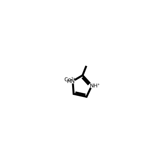 Cc1[nH]cc[nH+]1.[Co+2]